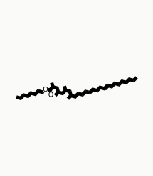 CCCCCCCCC=CCCCCCCCCC(C)CC(C)CC(C)CC(C)C(=O)OCCCCCCCC